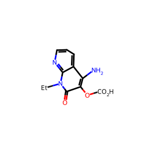 CCn1c(=O)c(OC(=O)O)c(N)c2cccnc21